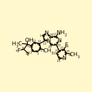 Cc1ccc(C(C)(O)C(F)F)cc1-c1cnc2c(N)nc(-c3ccnc(C)c3F)cn12